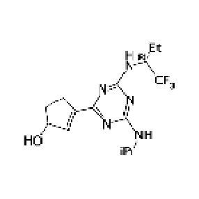 CC[C@@H](Nc1nc(NC(C)C)nc(C2=CC(O)CC2)n1)C(F)(F)F